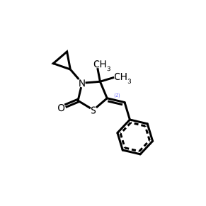 CC1(C)/C(=C/c2ccccc2)SC(=O)N1C1CC1